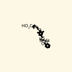 CCN(C(=O)c1ccccc1F)c1nnc(-c2cc(C)c(OCCN3CC(C(=O)O)C3)c(C)c2)s1